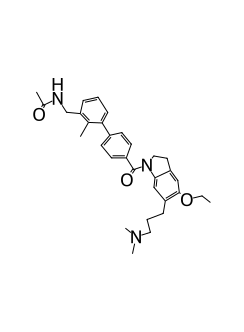 CCOc1cc2c(cc1CCCN(C)C)N(C(=O)c1ccc(-c3cccc(CNC(C)=O)c3C)cc1)CC2